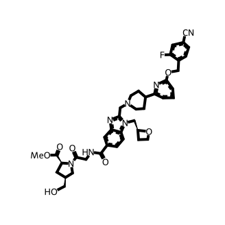 COC(=O)[C@@H]1C[C@H](CO)CN1C(=O)CNC(=O)c1ccc2c(c1)nc(CN1CCC(c3cccc(OCc4ccc(C#N)cc4F)n3)CC1)n2C[C@@H]1CCO1